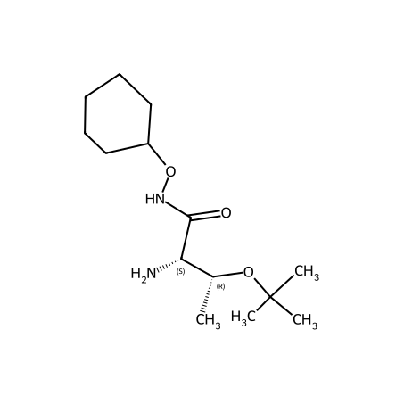 C[C@@H](OC(C)(C)C)[C@H](N)C(=O)NOC1CCCCC1